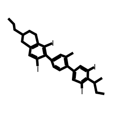 CCCC1CCc2c(cc(I)c(-c3ccc(-c4cc(I)c(C(C)CC)c(I)c4)c(C)c3)c2I)C1